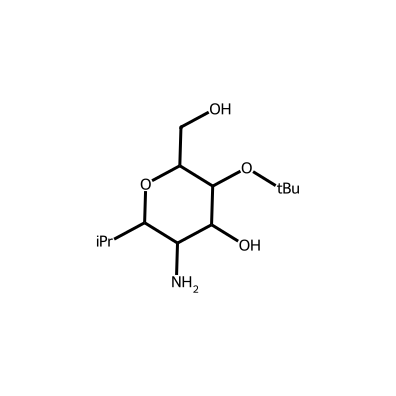 CC(C)C1OC(CO)C(OC(C)(C)C)C(O)C1N